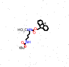 CC(C)(C)OC(=O)NCCCC[C@H](NC(=O)OCC1C2=CC=CCC2[C@H]2CC=CC=C12)C(=O)O